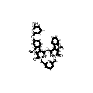 Cc1cccc(Cn2nc(Oc3n[nH]c(=O)c4c3c3ccccc3n4C)c3c4ccc(Oc5cccc(N)n5)cc4n(C)c3c2=O)n1